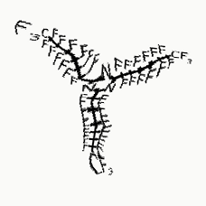 FC(F)(F)C(F)(F)C(F)(F)C(F)(F)C(F)(F)C(F)(F)C(F)(F)c1nc(C(F)(F)C(F)(F)C(F)(F)C(F)(F)C(F)(F)C(F)(F)C(F)(F)F)nc(C(F)(F)C(F)(F)C(F)(F)C(F)(F)C(F)(F)C(F)(F)C(F)(F)F)n1